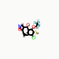 CSc1c(Cl)ccc(C(=O)c2cnoc2C2CC2)c1OCC(F)(F)F